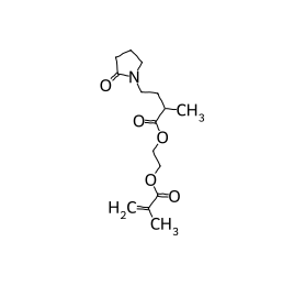 C=C(C)C(=O)OCCOC(=O)C(C)CCN1CCCC1=O